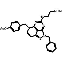 COc1ccc(CN2CCc3nn(Cc4ccccc4)c4nc(NCCNC(C)=O)nc2c34)cc1